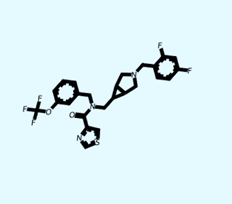 O=C(c1cscn1)N(Cc1cccc(OC(F)(F)F)c1)CC1C2CN(Cc3ccc(F)cc3F)CC21